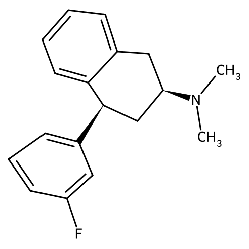 CN(C)[C@@H]1Cc2ccccc2[C@H](c2cccc(F)c2)C1